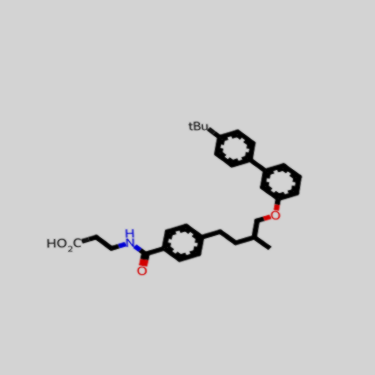 CC(CCc1ccc(C(=O)NCCC(=O)O)cc1)COc1cccc(-c2ccc(C(C)(C)C)cc2)c1